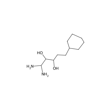 NC(N)C(O)C(O)CCC1CCCCC1